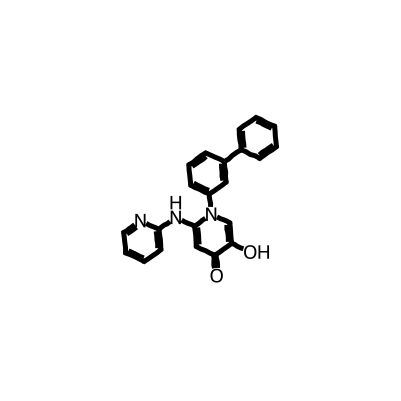 O=c1cc(Nc2ccccn2)n(-c2cccc(-c3ccccc3)c2)cc1O